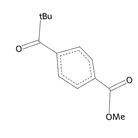 COC(=O)c1ccc(C(=O)C(C)(C)C)cc1